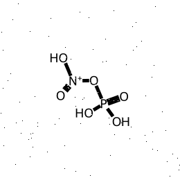 O=[N+](O)OP(=O)(O)O